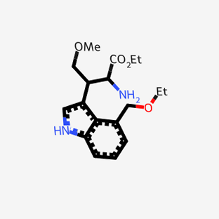 CCOCc1cccc2[nH]cc(C(COC)C(N)C(=O)OCC)c12